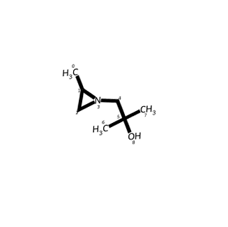 CC1CN1CC(C)(C)O